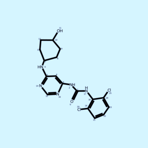 O=C(Nc1cc(NC2CCC(O)CC2)ncn1)Nc1c(Cl)cccc1Cl